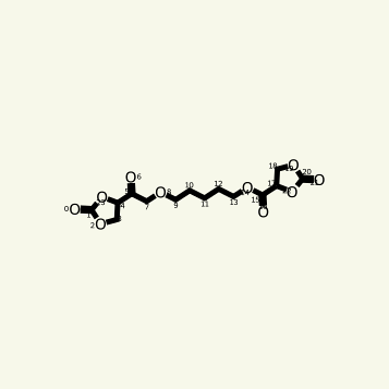 O=C1OCC(C(=O)COCCCCCOC(=O)C2COC(=O)O2)O1